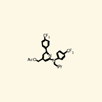 CC(=O)OCc1cc(-c2ccc(C(F)(F)F)cc2)nc(N(CC(C)C)c2ccc(C(F)(F)F)cc2)c1